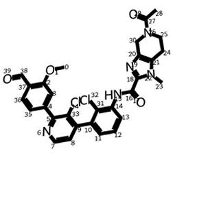 COc1cc(-c2nccc(-c3cccc(NC(=O)c4nc5c(n4C)CCN(C(C)=O)C5)c3Cl)c2Cl)ccc1C=O